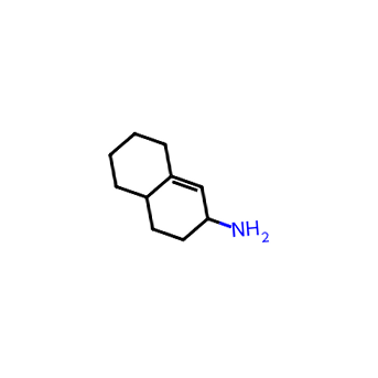 NC1C=C2CCCCC2CC1